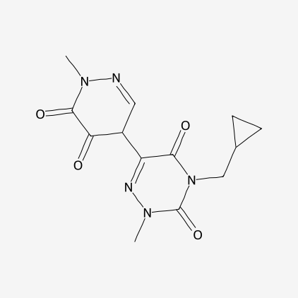 CN1N=CC(c2nn(C)c(=O)n(CC3CC3)c2=O)C(=O)C1=O